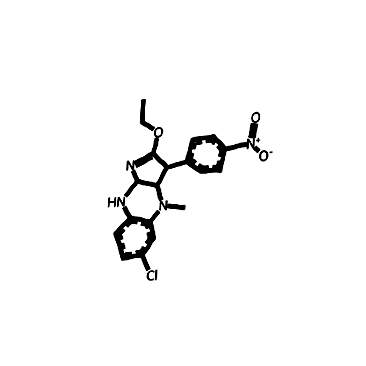 CCOC1=NC2Nc3ccc(Cl)cc3N(C)C2C1c1ccc([N+](=O)[O-])cc1